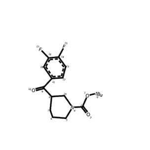 CC(C)(C)OC(=O)N1CCCC(C(=O)c2ccc(F)c(F)c2)C1